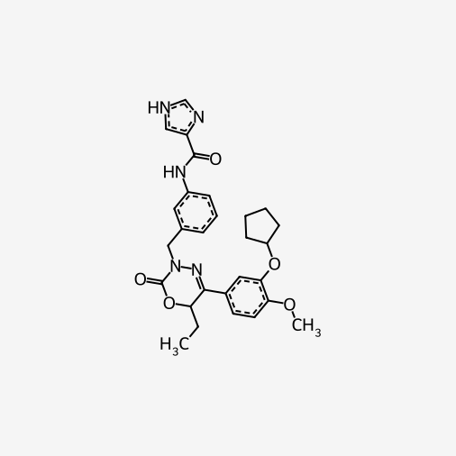 CCC1OC(=O)N(Cc2cccc(NC(=O)c3c[nH]cn3)c2)N=C1c1ccc(OC)c(OC2CCCC2)c1